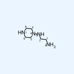 NCCNN1CCNCC1